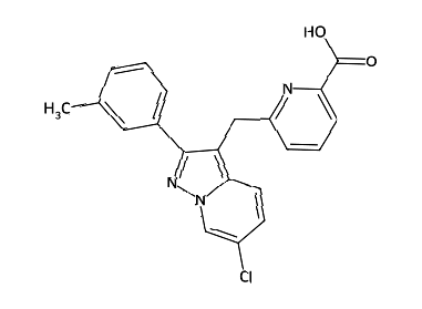 Cc1cccc(-c2nn3cc(Cl)ccc3c2Cc2cccc(C(=O)O)n2)c1